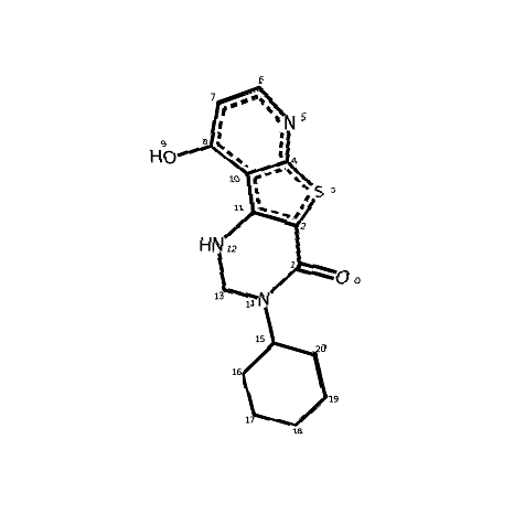 O=C1c2sc3nccc(O)c3c2NCN1C1CCCCC1